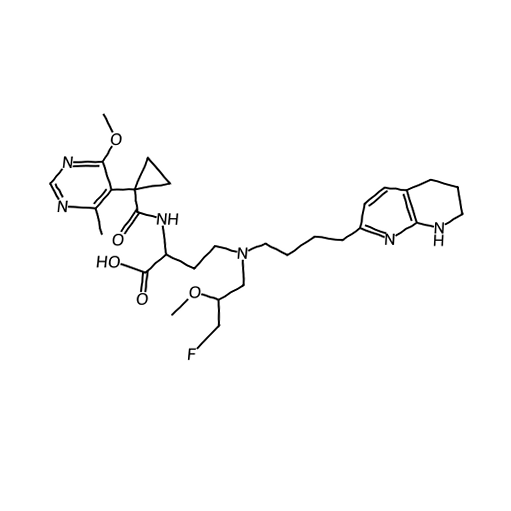 COc1ncnc(C)c1C1(C(=O)NC(CCN(CCCCc2ccc3c(n2)NCCC3)CC(CF)OC)C(=O)O)CC1